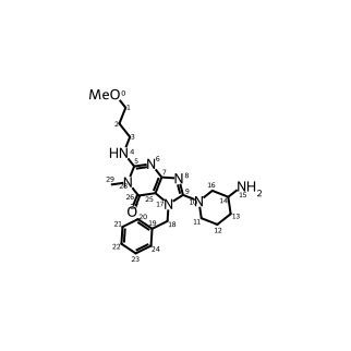 COCCCNc1nc2nc(N3CCCC(N)C3)n(Cc3ccccc3)c2c(=O)n1C